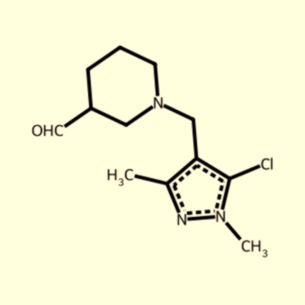 Cc1nn(C)c(Cl)c1CN1CCCC(C=O)C1